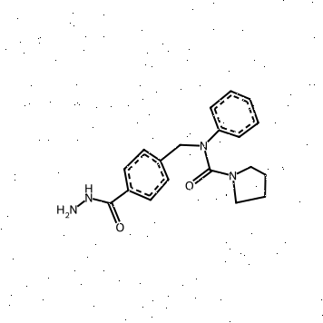 NNC(=O)c1ccc(CN(C(=O)N2CCCC2)c2ccccc2)cc1